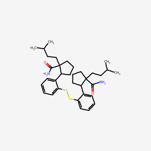 CC(C)CCC1(C(N)=O)CCCC1c1ccccc1SSc1ccccc1C1CCCC1(CCC(C)C)C(N)=O